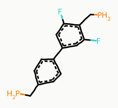 Fc1cc(-c2ccc(CP)cc2)cc(F)c1CP